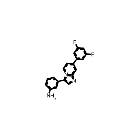 Nc1cccc(-c2cnc3cc(-c4cc(F)cc(F)c4)ccn23)c1